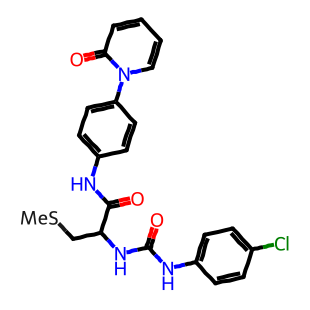 CSCC(NC(=O)Nc1ccc(Cl)cc1)C(=O)Nc1ccc(-n2ccccc2=O)cc1